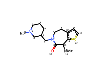 CCN1CCCC(CN2CCc3ccsc3C(NC)C2=O)C1